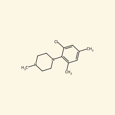 Cc1cc(C)c(N2CCN(C)CC2)c(Cl)c1